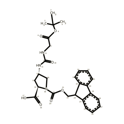 CC(C)(C)OC(=O)CNC(=O)N[C@H]1C[C@H](C(=O)O)N(C(=O)OCC2c3ccccc3-c3ccccc32)C1